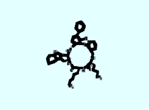 NCCCC[C@@H]1NC(=O)[C@@H](CCCN)NCc2cccnc2Sc2c(ccc(-c3ccccc3)c2Cl)CNC(=O)[C@H](Cc2c[nH]c3ccccc23)NC1=O